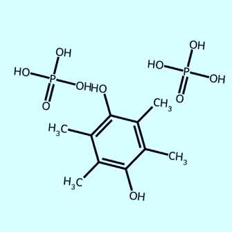 Cc1c(C)c(O)c(C)c(C)c1O.O=P(O)(O)O.O=P(O)(O)O